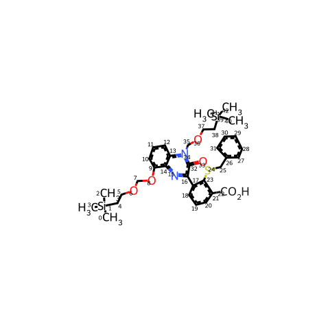 C[Si](C)(C)CCOCOc1cccc2c1nc(-c1cccc(C(=O)O)c1SCc1ccccc1)c(=O)n2COCC[Si](C)(C)C